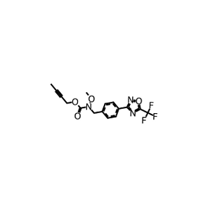 CC#CCOC(=O)N(Cc1ccc(-c2noc(C(F)(F)F)n2)cc1)OC